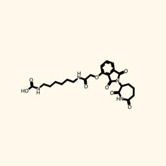 O=C(O)NCCCCCCNC(=O)COc1cccc2c1C(=O)N(C1CCCC(=O)NC1=O)C2=O